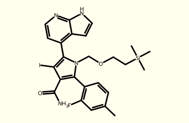 Cc1ccc(-c2c(C(N)=O)c(I)c(-c3ccnc4[nH]ccc34)n2COCC[Si](C)(C)C)c(F)c1